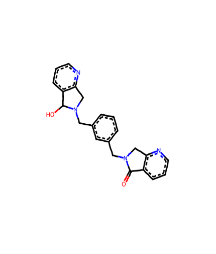 O=C1c2cccnc2CN1Cc1cccc(CN2Cc3ncccc3C2O)c1